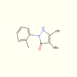 CCCCc1c(CCC)[nH]n(-c2ccccc2C)c1=O